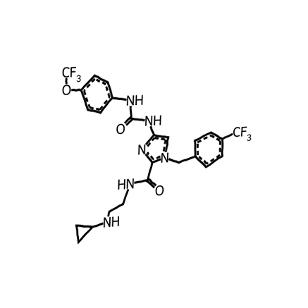 O=C(Nc1ccc(OC(F)(F)F)cc1)Nc1cn(Cc2ccc(C(F)(F)F)cc2)c(C(=O)NCCNC2CC2)n1